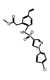 C=Cc1ccc(NS(=O)(=O)c2cnn(-c3ccc(Cl)cc3)c2)c(CC(=O)OC)c1